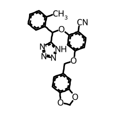 Cc1ccccc1C(Oc1cc(OCc2ccc3c(c2)OCO3)ccc1C#N)c1nnn[nH]1